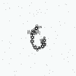 CC1(C)C(NC(=O)c2ccc(N3CCN(CCCC4CCN(C(=O)C5CN(c6ccc7nnn(C8CCC(=O)NC8=O)c(=O)c7c6)C5)CC4)CC3)cc2)C(C)(C)C1Oc1ccc(C#N)c(Cl)c1